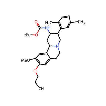 COc1cc2c(cc1OCCC#N)CCN1CC(c3cc(C)ccc3C)C(NC(=O)OC(C)(C)C)CC21